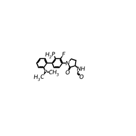 CP(C)c1ccccc1-c1ccc(N2CCC(NC=O)C2=O)c(F)c1P